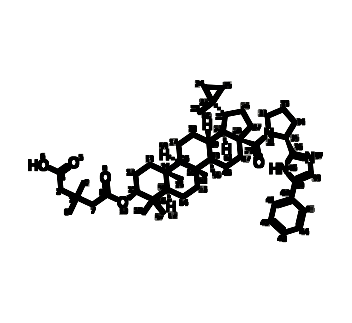 CC(C)(CC(=O)O)CC(=O)O[C@H]1CC[C@]2(C)[C@H]3CC[C@@H]4[C@H]5[C@H](C6(C)CC6)CC[C@]5(C(=O)N5CCC[C@H]5c5ncc(-c6ccccc6)[nH]5)CC[C@@]4(C)[C@]3(C)CC[C@H]2C1(C)C